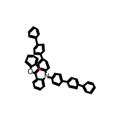 c1ccc(-c2ccc(-c3ccc(N(c4ccc(-c5ccc(-c6ccccc6)cc5)cc4)c4ccccc4-c4cc5ccccc5o4)cc3)cc2)cc1